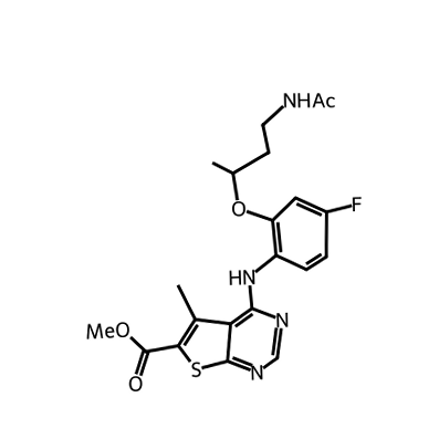 COC(=O)c1sc2ncnc(Nc3ccc(F)cc3OC(C)CCNC(C)=O)c2c1C